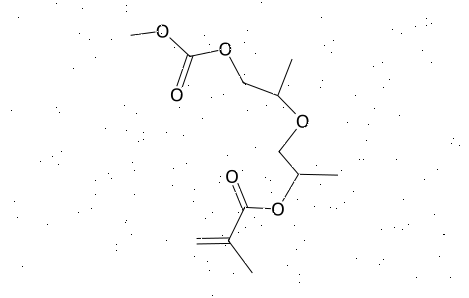 C=C(C)C(=O)OC(C)COC(C)COC(=O)OC